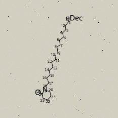 CCCCCCCCCCCCCCCCCCCCCCCCCCCCN1CCCCC1=O